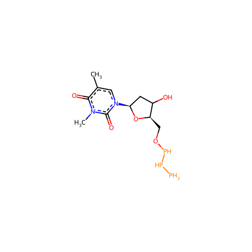 Cc1cn([C@H]2CC(O)[C@@H](COPPP)O2)c(=O)n(C)c1=O